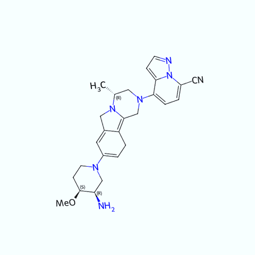 CO[C@H]1CCN(C2=CCC3=C4CN(c5ccc(C#N)n6nccc56)C[C@@H](C)N4CC3=C2)C[C@H]1N